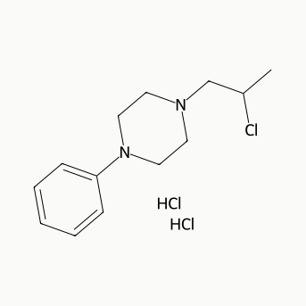 CC(Cl)CN1CCN(c2ccccc2)CC1.Cl.Cl